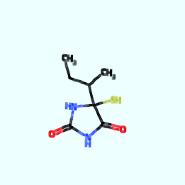 CCC(C)C1(S)NC(=O)NC1=O